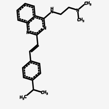 CC(C)c1ccc(C=Cc2nc(NCCN(C)C)c3ccccc3n2)cc1